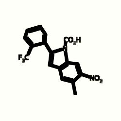 Cc1cc2cc(-c3ccccc3C(F)(F)F)n(C(=O)O)c2cc1[N+](=O)[O-]